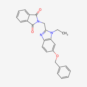 CCn1c(CN2C(=O)c3ccccc3C2=O)nc2ccc(OCc3ccccc3)cc21